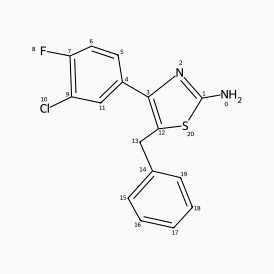 Nc1nc(-c2ccc(F)c(Cl)c2)c(Cc2ccccc2)s1